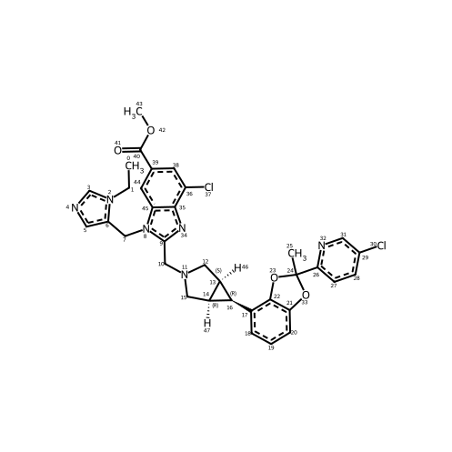 CCn1cncc1Cn1c(CN2C[C@@H]3[C@H](C2)[C@@H]3c2cccc3c2OC(C)(c2ccc(Cl)cn2)O3)nc2c(Cl)cc(C(=O)OC)cc21